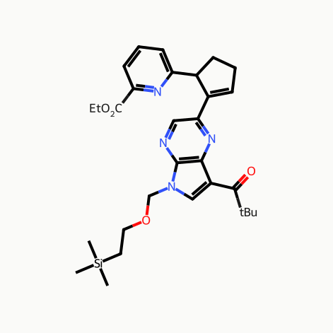 CCOC(=O)c1cccc(C2CCC=C2c2cnc3c(n2)c(C(=O)C(C)(C)C)cn3COCC[Si](C)(C)C)n1